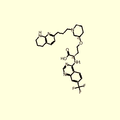 O=C(O)[C@@H](CCO[C@@H]1CCCN(CCCc2ccc3c(n2)NCCC3)C1)Nc1ncnc2cc(C(F)(F)F)ccc12